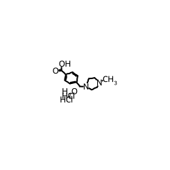 CN1CCN(Cc2ccc(C(=O)O)cc2)CC1.Cl.Cl.O